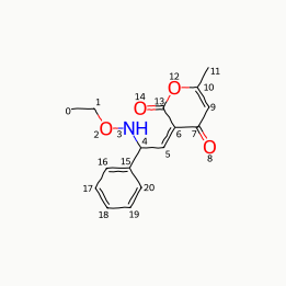 CCONC(C=C1C(=O)C=C(C)OC1=O)c1ccccc1